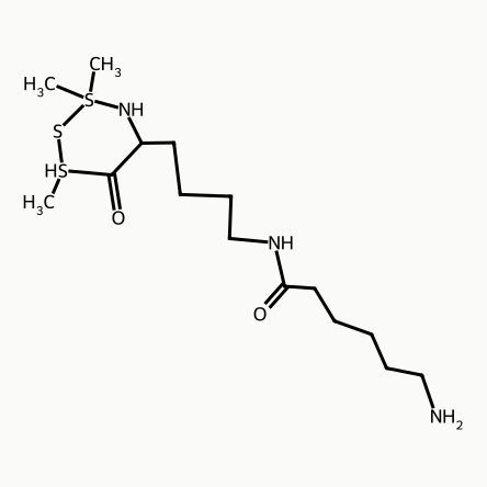 C[SH]1SS(C)(C)NC(CCCCNC(=O)CCCCCN)C1=O